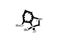 COc1cccc2c1P(=O)(C(C)(C)C)CN2